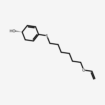 C=COCCCCCCSC1=CC[C@H](O)C=C1